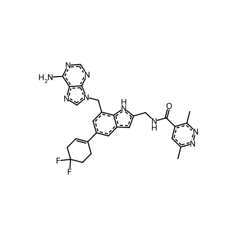 Cc1cc(C(=O)NCc2cc3cc(C4=CCC(F)(F)CC4)cc(Cn4cnc5c(N)ncnc54)c3[nH]2)c(C)nn1